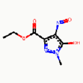 CCOC(=O)c1nn(C)c(O)c1N=O